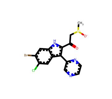 C[S+]([O-])CC(=O)c1[nH]c2cc(Br)c(Cl)cc2c1-c1cnccn1